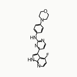 Fc1ccnc2[nH]cc(-c3ccnc(Nc4ccc(N5CCOCC5)cc4)n3)c12